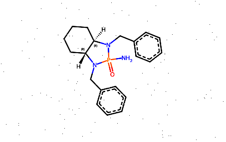 NP1(=O)N(Cc2ccccc2)[C@@H]2CCCC[C@H]2N1Cc1ccccc1